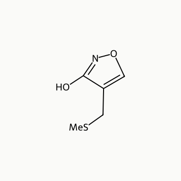 CSCc1conc1O